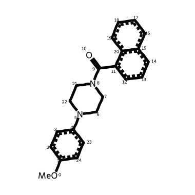 COc1ccc(N2CCN(C(=O)c3cccc4ccccc34)CC2)cc1